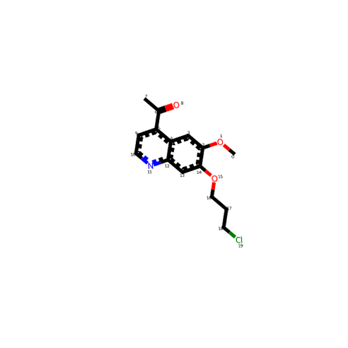 COc1cc2c(C(C)=O)ccnc2cc1OCCCCl